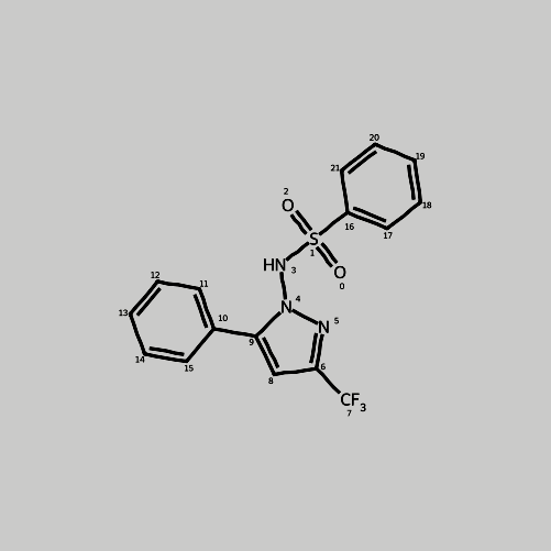 O=S(=O)(Nn1nc(C(F)(F)F)cc1-c1ccccc1)c1ccccc1